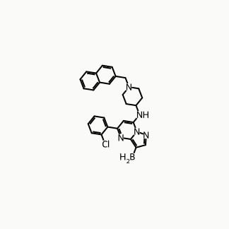 Bc1cnn2c(NC3CCN(Cc4ccc5ccccc5c4)CC3)cc(-c3ccccc3Cl)nc12